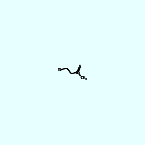 CCC[CH2][Sn]([CH3])=[S]